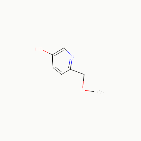 COOCc1ccc(O)cn1